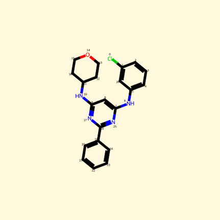 Clc1cccc(Nc2cc(NC3CCOCC3)nc(-c3ccccc3)n2)c1